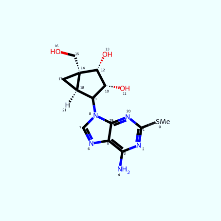 CSc1nc(N)c2ncn(C3[C@@H](O)[C@@H](O)[C@]4(CO)C[C@H]34)c2n1